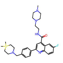 CN1CCN(CCNC(=O)c2cc(-c3ccc(CN4CCS(C)(C)CC4)cc3)nc3ccc(F)cc23)CC1